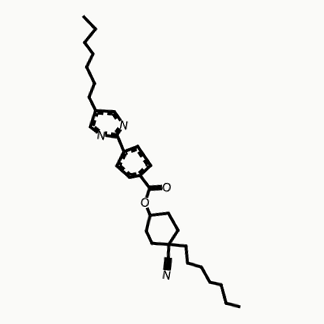 CCCCCCCc1cnc(-c2ccc(C(=O)OC3CCC(C#N)(CCCCCCC)CC3)cc2)nc1